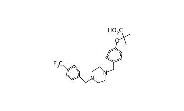 CC(C)(Oc1ccc(CN2CCN(Cc3ccc(C(F)(F)F)cc3)CC2)cc1)C(=O)O